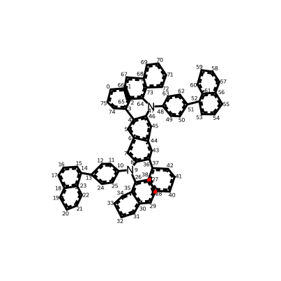 c1ccc(-c2cc3cc(N(c4ccc(-c5cccc6ccccc56)cc4)c4cccc5ccccc45)c(-c4ccccc4)cc3cc2N(c2ccc(-c3cccc4ccccc34)cc2)c2cccc3ccccc23)cc1